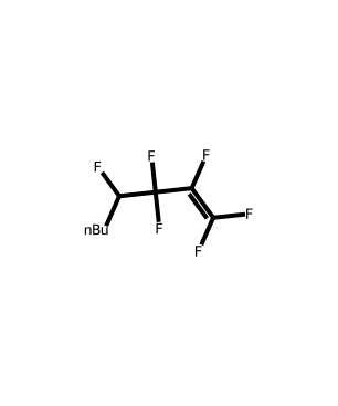 CCCCC(F)C(F)(F)C(F)=C(F)F